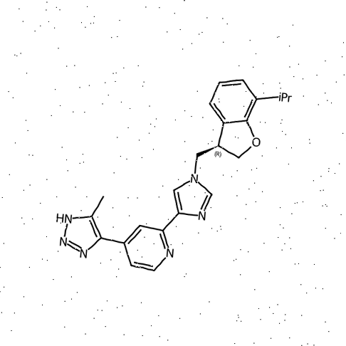 Cc1[nH]nnc1-c1ccnc(-c2cn(C[C@@H]3COc4c(C(C)C)cccc43)cn2)c1